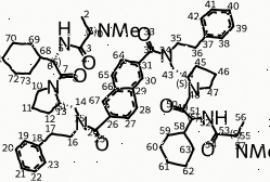 CN[C@@H](C)C(=O)N[C@H](C(=O)N1CCC[C@H]1CN(CCc1ccccc1)C(=O)c1ccc2cc(C(=O)N(CCc3ccccc3)C[C@@H]3CCCN3C(=O)[C@@H](NC(=O)[C@H](C)NC)C3CCCCC3)ccc2c1)C1CCCCC1